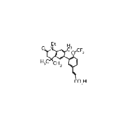 CCN1C(=O)CC(C)(C)c2cc(-c3cc(/C=C/C(=O)O)ccc3OC(F)(F)F)c(C)cc21